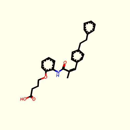 CC(=Cc1ccc(CCc2ccccc2)cc1)C(=O)Nc1ccccc1OCCCC(=O)O